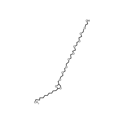 CCCCCCCCCCCC1OCC(COCCOCCOCCOCCOCCOCCOCCOCCOCCO)O1